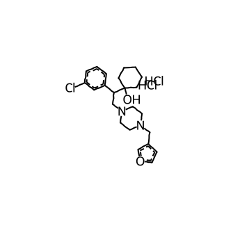 Cl.Cl.OC1(C(CN2CCN(Cc3ccoc3)CC2)c2cccc(Cl)c2)CCCCC1